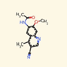 COc1cc2ncc(C#N)c(C)c2cc1NC(C)=O